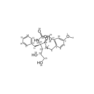 COc1ccc(CN2C(=O)[C@@](Cc3ccccc3)(NC(=O)O)[C@H]2[C@@H](O)CO)c(OC)c1